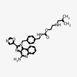 C=C(C)CNCCOC(=O)NCc1ccc(Cn2c(-c3cnco3)nc3c(N)nc4ccccc4c32)cc1